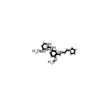 CNC1CCNC(Nc2ccc(OC)c(CNCCN3CCCC3)c2)N1